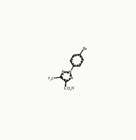 O=C(O)c1nn(-c2ccc(Br)cc2)nc1C(F)(F)F